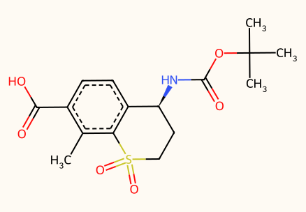 Cc1c(C(=O)O)ccc2c1S(=O)(=O)CC[C@@H]2NC(=O)OC(C)(C)C